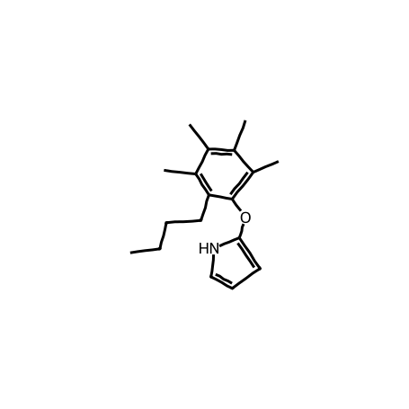 CCCCc1c(C)c(C)c(C)c(C)c1Oc1ccc[nH]1